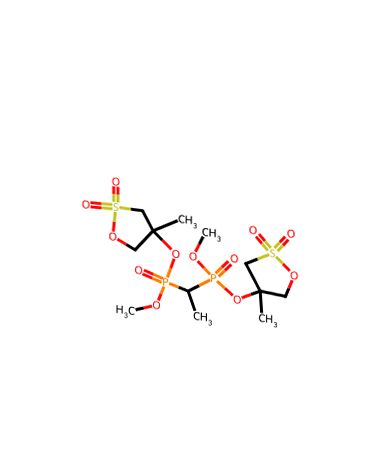 COP(=O)(OC1(C)COS(=O)(=O)C1)C(C)P(=O)(OC)OC1(C)COS(=O)(=O)C1